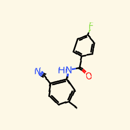 Cc1ccc(C#N)c(NC(=O)c2ccc(F)cc2)c1